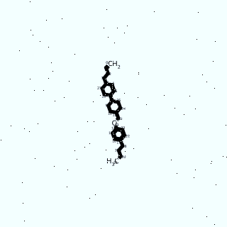 C=CCCC1C=CC(C2CCC(COc3ccc(CCCC)cc3)CC2)CC1